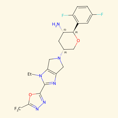 CCn1c(-c2nnc(C(F)(F)F)o2)nc2c1CN([C@H]1CO[C@H](c3cc(F)ccc3F)[C@@H](N)C1)C2